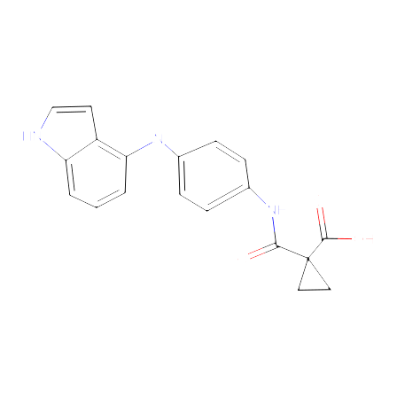 O=C(O)C1(C(=O)Nc2ccc(Nc3cccc4[nH]ccc34)cc2)CC1